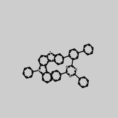 c1ccc(-c2ccc(-c3ccc4c(c3)sc3ccc5c(c6ccccc6n5-c5ccccc5)c34)c(-c3nc(-c4ccccc4)nc(-c4ccccc4)n3)c2)cc1